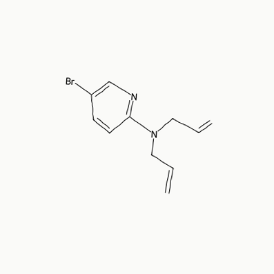 C=CCN(CC=C)c1ccc(Br)cn1